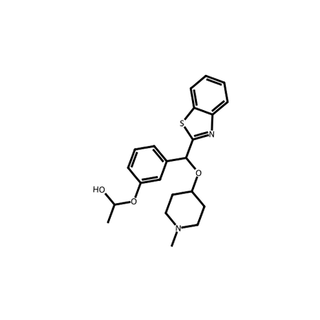 CC(O)Oc1cccc(C(OC2CCN(C)CC2)c2nc3ccccc3s2)c1